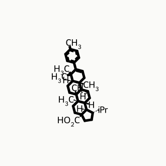 Cc1ccc(C2=CC[C@]3(C)[C@H]4CC[C@@H]5[C@H]6[C@H](C(C)C)CC[C@]6(C(=O)O)CC[C@@]5(C)[C@]4(C)CC[C@H]3C2(C)C)cc1